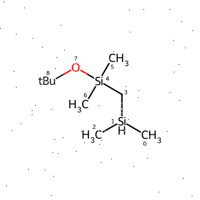 C[SiH](C)C[Si](C)(C)OC(C)(C)C